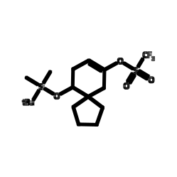 CC(C)(C)[Si](C)(C)OC1CC=C(OS(=O)(=O)C(F)(F)F)CC12CCCC2